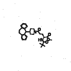 COC(=O)[C@H](CCC(=O)N1CCC(=C2c3ccccc3C=Cc3ccccc32)CC1)NC(=O)C(C)(C)C